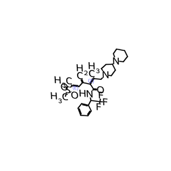 C=C(/C=C(\C)S(C)(=O)=O)/C(C(=O)NC(c1ccccc1)C(F)(F)F)=C(\C)CN1CCC(N2CCCCC2)CC1